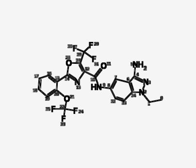 CCn1nc(N)c2cc(NC(=O)c3nc(-c4ccccc4OC(F)(F)F)oc3C(F)(F)F)ccc21